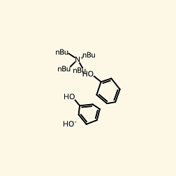 CCCC[N+](CCCC)(CCCC)CCCC.Oc1ccccc1.Oc1ccccc1.[OH-]